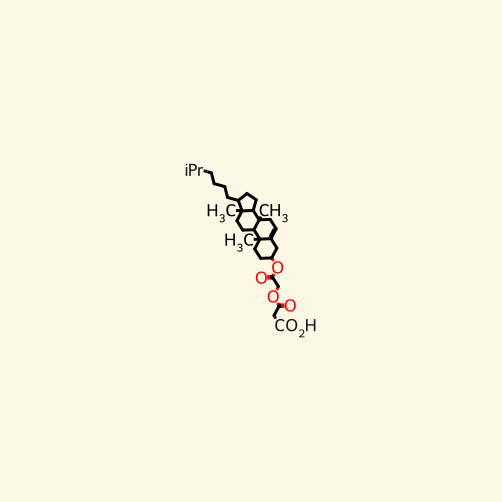 CC(C)CCCCC1CCC2C1(C)CCC1C3(C)CCC(OC(=O)COC(=O)CC(=O)O)CC3=CCC12C